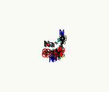 C[C@@H](S[C@H]1CO[C@H](C=CC=Cc2ccc(C#N)cc2F)OC1)[C@@](Cn1cncn1)(OC(=O)C(C)(C)CCOP(=O)([O-])[O-])c1ccc(F)cc1F.[Na+].[Na+]